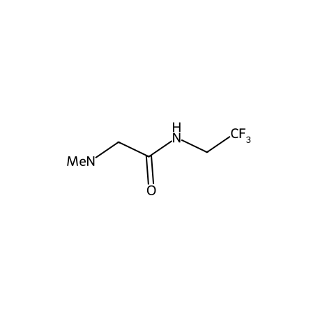 CNCC(=O)NCC(F)(F)F